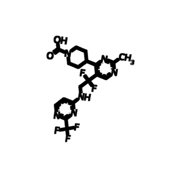 Cc1ncc(C(F)(F)CNc2ccnc(C(F)(F)F)n2)c(C2CCN(C(=O)O)CC2)n1